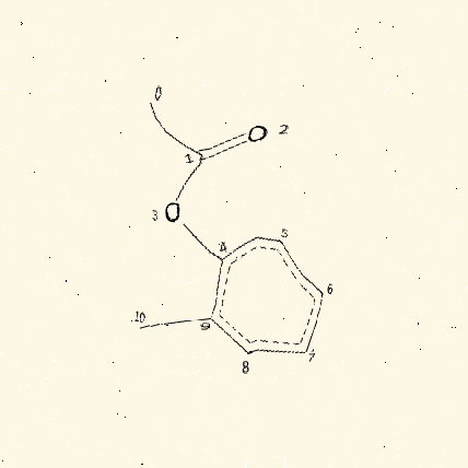 CC(=O)Oc1cc[c]cc1C